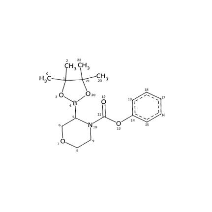 CC1(C)OB(C2COCCN2C(=O)Oc2ccccc2)OC1(C)C